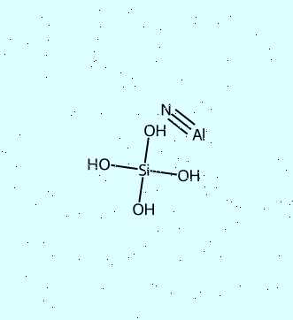 O[Si](O)(O)O.[N]#[Al]